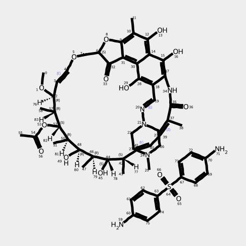 CO[C@H]1/C=C/O[C@@]2(C)Oc3c(C)c(O)c4c(O)c(c(/C=N/N5CCN(C)CC5)c(O)c4c3C2=O)NC(=O)/C(C)=C\C=C\[C@H](C)[C@H](O)[C@@H](C)[C@@H](O)[C@@H](C)[C@H](OC(C)=O)[C@@H]1C.Nc1ccc(S(=O)(=O)c2ccc(N)cc2)cc1